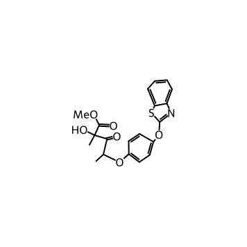 COC(=O)C(C)(O)C(=O)C(C)Oc1ccc(Oc2nc3ccccc3s2)cc1